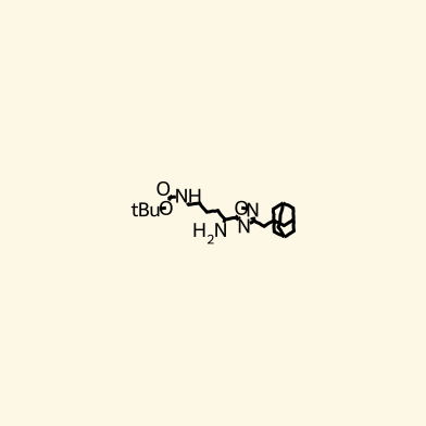 CC(C)(C)OC(=O)NCCCCC(N)c1nc(CC23CC4CC(CC(C4)C2)C3)no1